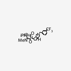 CN[C@@H](CC(C)C)C(=O)N(C(=O)C(C)(C)C)C1CC[C@H]2CN(Cc3cccc(C(F)(F)F)c3)CC12